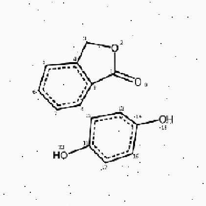 O=C1OCc2ccccc21.Oc1ccc(O)cc1